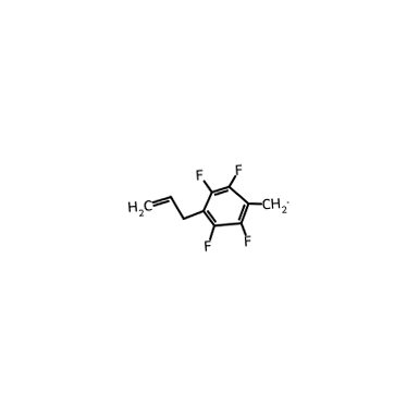 [CH2]c1c(F)c(F)c(CC=C)c(F)c1F